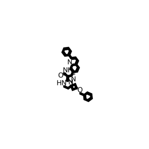 NC(=O)c1c(-c2ccc3ccc(-c4ccccc4)nc3c2)nn2c1NCCC21CC(OCc2ccccc2)C1